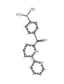 CN(C)c1ccc(C(=O)c2cccc(-c3ccccn3)n2)cc1